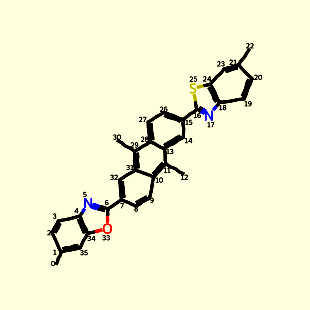 Cc1ccc2nc(-c3ccc4c(C)c5cc(-c6nc7ccc(C)cc7s6)ccc5c(C)c4c3)oc2c1